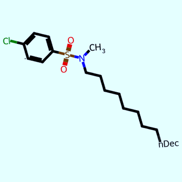 CCCCCCCCCCCCCCCCCCN(C)S(=O)(=O)c1c[c]c(Cl)cc1